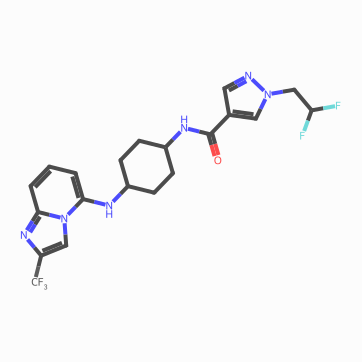 O=C(NC1CCC(Nc2cccc3nc(C(F)(F)F)cn23)CC1)c1cnn(CC(F)F)c1